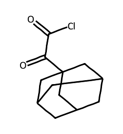 O=C(Cl)C(=O)C12CC3CC(CC(C3)C1)C2